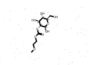 COCCOC(=O)O[C@@H]1[C@@H](O)[C@H](O)[C@@H](CO)O[C@H]1O